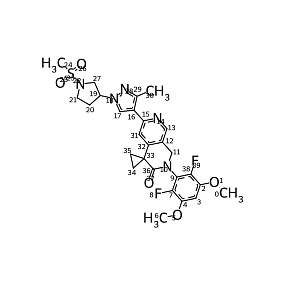 COc1cc(OC)c(F)c(N2Cc3cnc(-c4cn(C5CCN(S(C)(=O)=O)C5)nc4C)cc3C3(CC3)C2=O)c1F